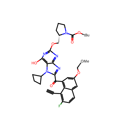 C#Cc1c(F)ccc2cc(OCOC)cc(C(=O)c3nc4nc(OC[C@@H]5CCCN5C(=O)OC(C)(C)C)nc(O)c4n3C3CCC3)c12